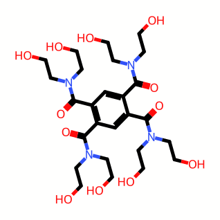 O=C(c1cc(C(=O)N(CCO)CCO)c(C(=O)N(CCO)CCO)cc1C(=O)N(CCO)CCO)N(CCO)CCO